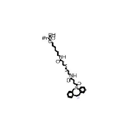 CC(C)P(=O)(O)OCCCCCCNC(=O)CCSSCCNC(=O)CCC(=O)N1Cc2ccccc2/C=C\c2ccccc21